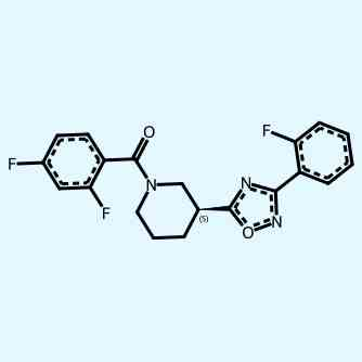 O=C(c1ccc(F)cc1F)N1CCC[C@H](c2nc(-c3ccccc3F)no2)C1